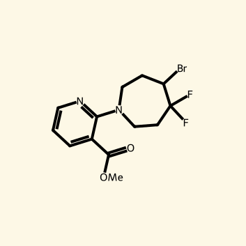 COC(=O)c1cccnc1N1CCC(Br)C(F)(F)CC1